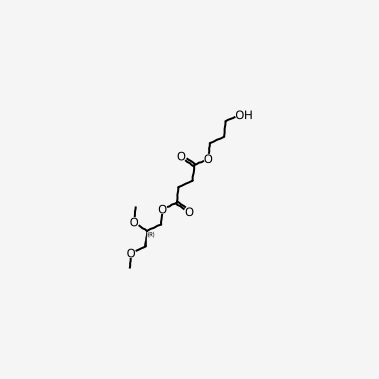 COC[C@H](COC(=O)CCC(=O)OCCCO)OC